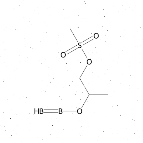 B=BOC(C)COS(C)(=O)=O